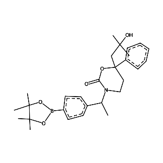 CC(c1ccc(B2OC(C)(C)C(C)(C)O2)cc1)N1CCC(CC(C)(C)O)(c2ccccc2)OC1=O